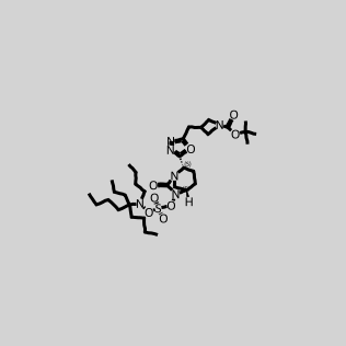 CCCCN(OS(=O)(=O)ON1C(=O)N2C[C@@H]1CC[C@H]2c1nnc(CC2CN(C(=O)OC(C)(C)C)C2)o1)C(CCC)(CCCC)CCCC